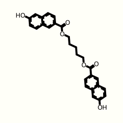 O=C(OCCCCCOC(=O)c1ccc2cc(O)ccc2c1)c1ccc2cc(O)ccc2c1